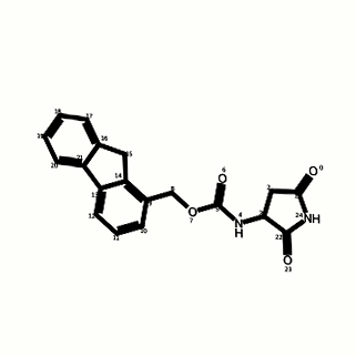 O=C1CC(NC(=O)OCc2cccc3c2Cc2ccccc2-3)C(=O)N1